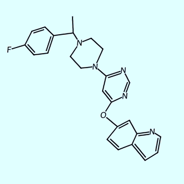 CC(c1ccc(F)cc1)N1CCN(c2cc(Oc3ccc4cccnc4c3)ncn2)CC1